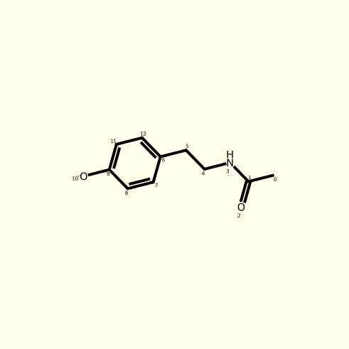 CC(=O)NCCc1ccc([O])cc1